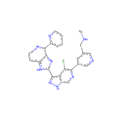 CCNCc1cncc(-c2ncc3[nH]nc(-c4nc5c(-c6ccccn6)nccc5[nH]4)c3c2F)c1